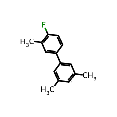 Cc1[c]c(C)cc(-c2ccc(F)c(C)c2)c1